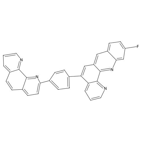 Fc1ccc2cc3cc(-c4ccc(-c5ccc6ccc7cccnc7c6n5)cc4)c4cccnc4c3nc2c1